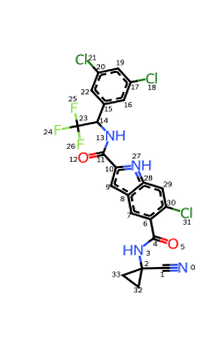 N#CC1(NC(=O)c2cc3cc(C(=O)NC(c4cc(Cl)cc(Cl)c4)C(F)(F)F)[nH]c3cc2Cl)CC1